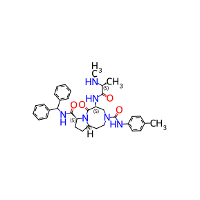 CN[C@@H](C)C(=O)N[C@H]1CN(C(=O)Nc2ccc(C)cc2)CC[C@H]2CC[C@@H](C(=O)NC(c3ccccc3)c3ccccc3)N2C1=O